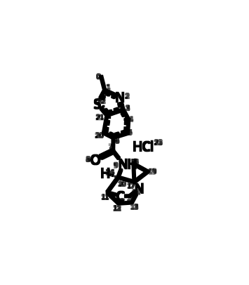 Cc1nc2ccc(C(=O)N[C@@H]3C4CCN(CC4)C34CC4)cc2s1.Cl